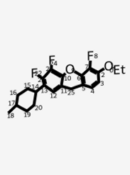 CCOc1ccc2c(c1F)Oc1c(cc(C3CCC(C)CC3)c(F)c1F)C2